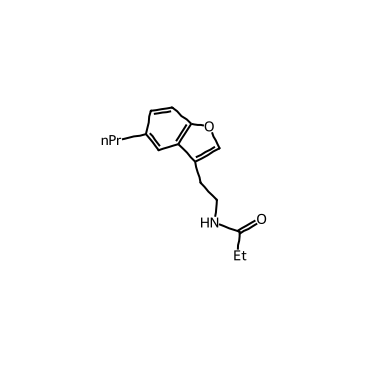 CCCc1ccc2occ(CCNC(=O)CC)c2c1